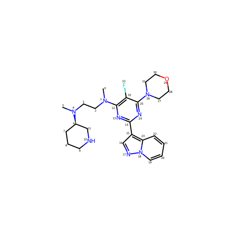 CN(CCN(C)[C@@H]1CCCNC1)c1nc(-c2cnn3ccccc23)nc(N2CCOCC2)c1F